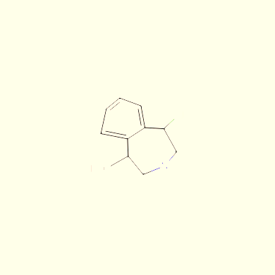 CC1CNCC(Cl)c2ccccc21